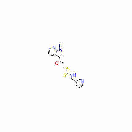 O=C(CCSC(=S)NCc1cccnc1)c1c[nH]c2ncccc12